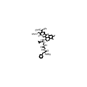 CCCC(C=O)c1cc2n(c(=O)c1COC)Cc1c-2nc2cc(F)c(C)c3c2c1[C@@H](NC(OCNC(=O)CNC(=O)[C@H](Cc1ccccc1)NC)C1CC1)CC3